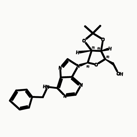 CC1(C)O[C@@H]2[C@H](O1)[C@@H](CO)O[C@H]2n1cnc2c(NCc3ccccc3)ncnc21